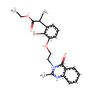 CCOC(=O)C(C)c1cccc(OCCn2c(C)nc3ccccc3c2=O)c1Br